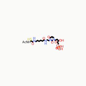 CC(=O)NC(S)C(=O)NCCCCCC(=O)NCCn1c(=O)ccn(C2CC(O)C(COP(=O)(O)O)O2)c1=O